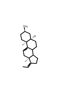 C/C=C1/CCC2C3CC[C@@H]4C[C@H](OC(C)=O)CC[C@]4(C)C3=CC[C@]12C